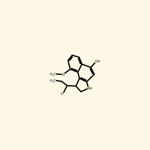 CCC(Cl)C1CNc2cc(O)c3cccc(OC)c3c21